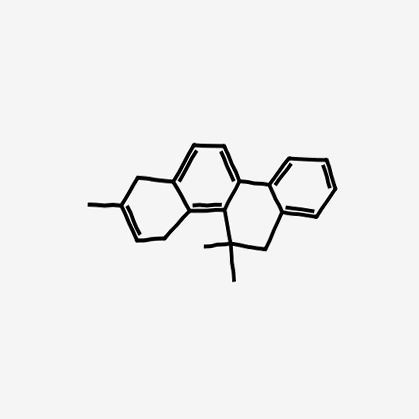 CC1=CCc2c(ccc3c2C(C)(C)Cc2ccccc2-3)C1